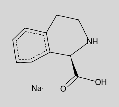 O=C(O)[C@@H]1NCCc2ccccc21.[Na]